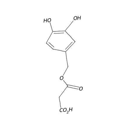 O=C(O)CC(=O)OCc1ccc(O)c(O)c1